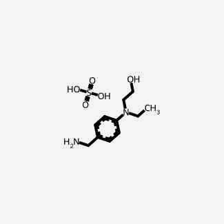 CCN(CCO)c1ccc(CN)cc1.O=S(=O)(O)O